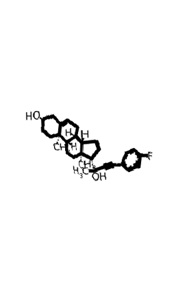 CC(O)(C#Cc1ccc(F)cc1)[C@H]1CC[C@H]2[C@@H]3CC=C4C[C@@H](O)CC[C@]4(C)[C@H]3CC[C@]12C